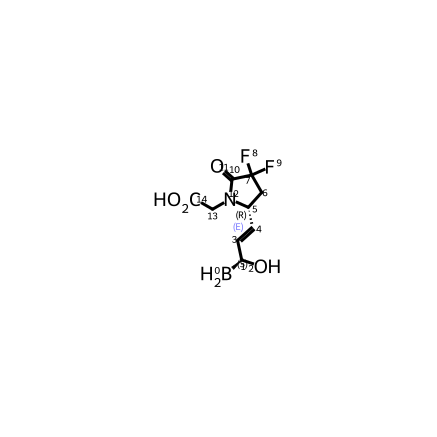 B[C@H](O)/C=C/[C@H]1CC(F)(F)C(=O)N1CC(=O)O